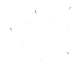 C[C@H]1C[C@H]2C(=O)O[C@@H](C)CC(=O)N3CCC[C@H]3C(=O)N(C)C([C@H](C)O)C(=O)N[C@@H](C)C(=O)N2C1